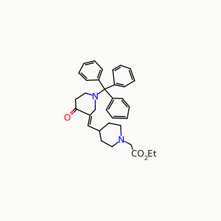 CCOC(=O)CN1CCC(C=C2CN(C(c3ccccc3)(c3ccccc3)c3ccccc3)CCC2=O)CC1